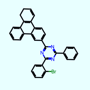 Brc1ccccc1-c1nc(-c2ccccc2)nc(-c2ccc3c4c(c5ccccc5c3c2)CCC=C4)n1